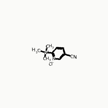 C[N+](C)(C)c1ccc(C#N)cn1.[Cl-]